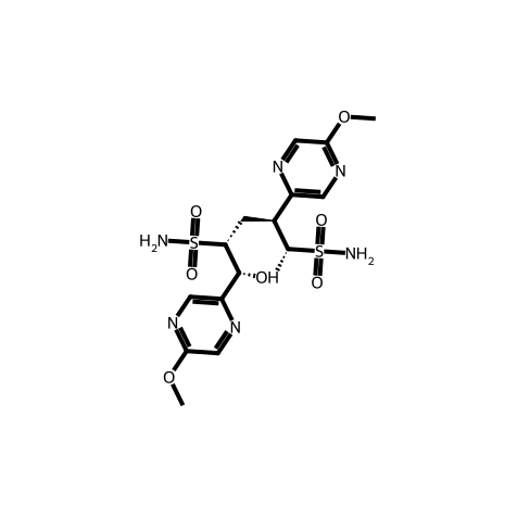 COc1cnc([C@@H](O)[C@@H](C[C@@H](c2cnc(OC)cn2)[C@@H](C)S(N)(=O)=O)S(N)(=O)=O)cn1